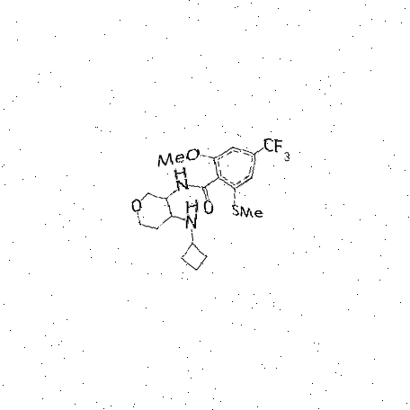 COc1cc(C(F)(F)F)cc(SC)c1C(=O)NC1COCCC1NC1CCC1